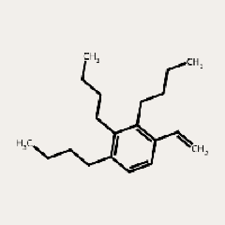 C=[C]c1ccc(CCCC)c(CCCC)c1CCCC